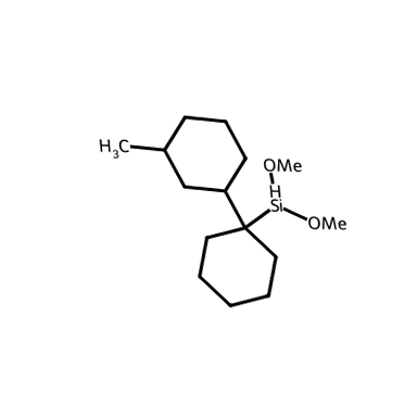 CO[SiH](OC)C1(C2CCCC(C)C2)CCCCC1